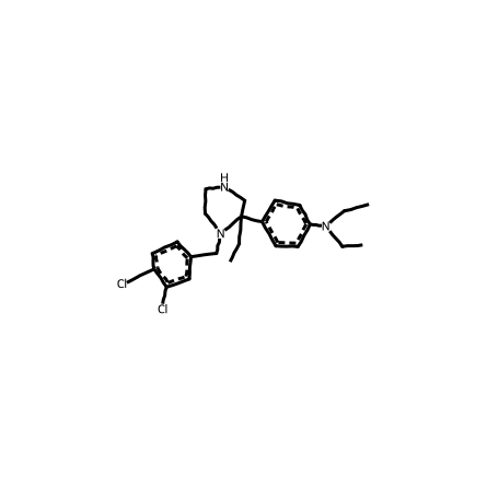 CCN(CC)c1ccc(C2(CC)CNCCN2Cc2ccc(Cl)c(Cl)c2)cc1